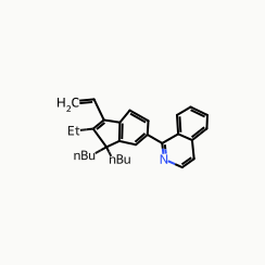 C=CC1=C(CC)C(CCCC)(CCCC)c2cc(-c3nccc4ccccc34)ccc21